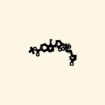 CC(C)(C)OC(=O)N1CCc2c(ccc(N3CC[C@H](NS(=O)(=O)/C=C/c4ccc(Cl)s4)C3=O)c2F)C1